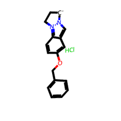 Cl.c1ccc(COc2ccc3c(c2)cn2[n+]3CC[CH-]2)cc1